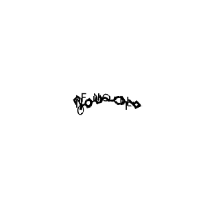 O=C(c1ccc(-c2ccc(OCC3CCN(CC4(F)CCC4)CC3)cn2)cc1F)N1CCCC1